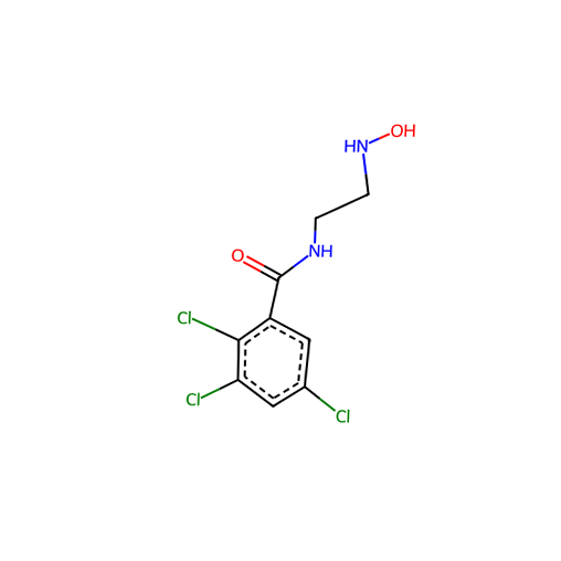 O=C(NCCNO)c1cc(Cl)cc(Cl)c1Cl